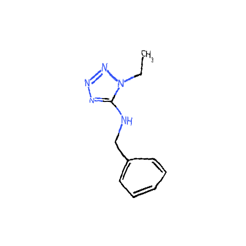 CCn1nnnc1NCc1ccccc1